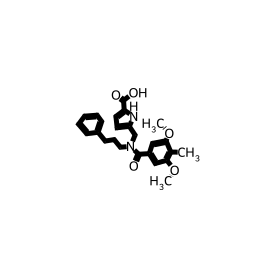 COc1cc(C(=O)N(CCCc2ccccc2)Cc2ccc(C(=O)O)[nH]2)cc(OC)c1C